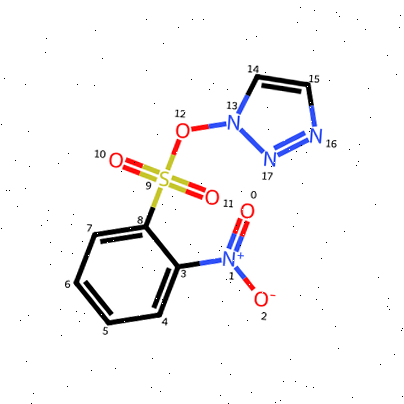 O=[N+]([O-])c1ccccc1S(=O)(=O)On1ccnn1